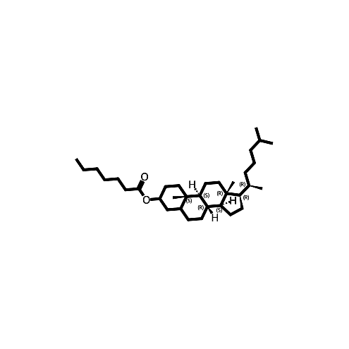 CCCCCCC(=O)OC1CC[C@@]2(C)C(CC[C@H]3[C@@H]4CC[C@H]([C@H](C)CCCC(C)C)[C@@]4(C)CC[C@@H]32)C1